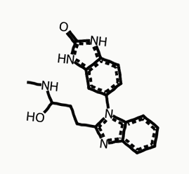 CNC(O)CCc1nc2ccccc2n1-c1ccc2[nH]c(=O)[nH]c2c1